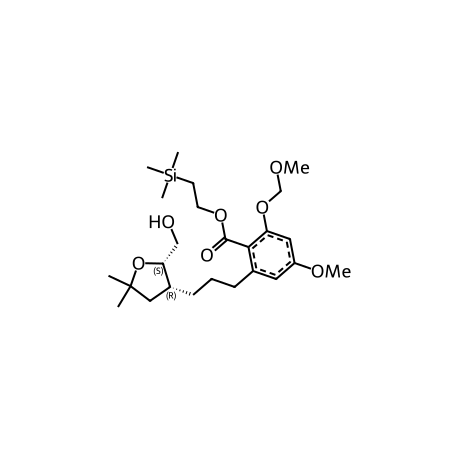 COCOc1cc(OC)cc(CCC[C@@H]2CC(C)(C)O[C@@H]2CO)c1C(=O)OCC[Si](C)(C)C